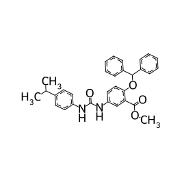 COC(=O)c1cc(NC(=O)Nc2ccc(C(C)C)cc2)ccc1OC(c1ccccc1)c1ccccc1